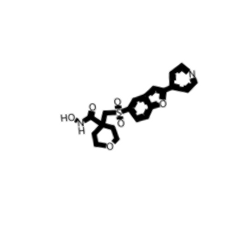 O=C(NO)C1(CS(=O)(=O)c2ccc3oc(-c4ccncc4)cc3c2)CCOCC1